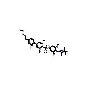 CCCCCc1ccc(-c2cc(F)c(C(=O)Oc3cc(F)c(/C=C/C(F)(F)F)c(F)c3)c(F)c2)c(F)c1